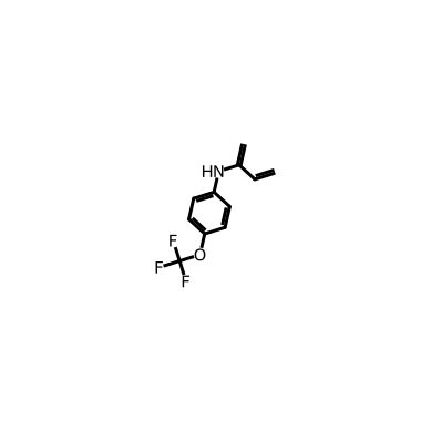 C=CC(=C)Nc1ccc(OC(F)(F)F)cc1